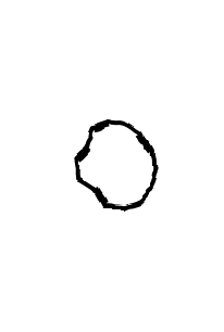 [CH]1/C=C/C/C=C/C=C\C/C=C\CCC1